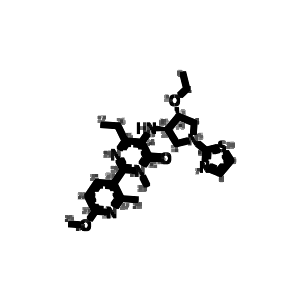 CCO[C@@H]1CN(c2nccs2)C[C@H]1Nc1c(CC)nc(-c2ccc(OC)nc2C)n(C)c1=O